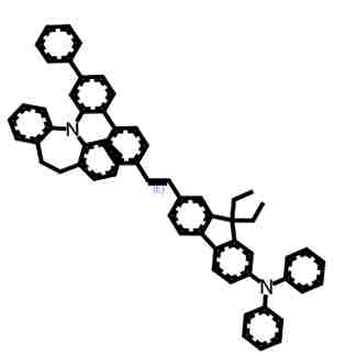 CCC1(CC)c2cc(/C=C/c3ccc(-c4ccc(-c5ccccc5)cc4N4c5ccccc5CCc5ccccc54)cc3)ccc2-c2ccc(N(c3ccccc3)c3ccccc3)cc21